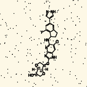 O[C@@H]1CO[C@H]2[C@@H]1OC[C@H]2Oc1nc2nc(NC3CCc4cc(-c5cn[nH]c5)cc(F)c43)c(Cl)cc2[nH]1